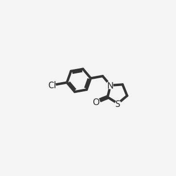 O=C1SCCN1Cc1ccc(Cl)cc1